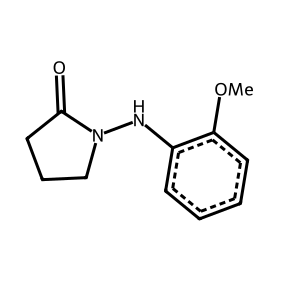 COc1ccccc1NN1CCCC1=O